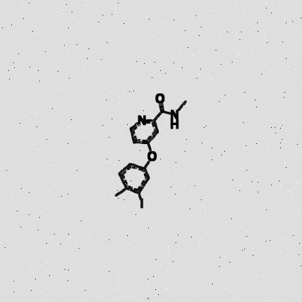 CNC(=O)c1cc(Oc2ccc(C)c(I)c2)ccn1